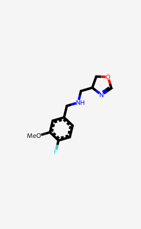 COc1cc(CNCC2CO[C]=N2)ccc1F